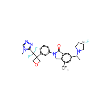 CC(c1cc2c(c(C(F)(F)F)c1)CN(c1cccc(C3(C(F)(F)c4nncn4C)COC3)c1)C2=O)N1CC[C@H](F)C1